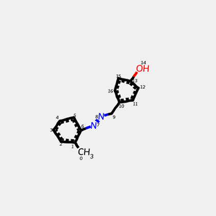 Cc1ccccc1N=NCc1ccc(O)cc1